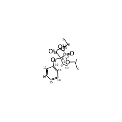 CCOP(=O)(OCC)C(CC)(Oc1ccccc1)C(=O)O